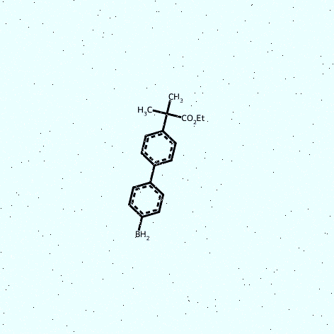 Bc1ccc(-c2ccc(C(C)(C)C(=O)OCC)cc2)cc1